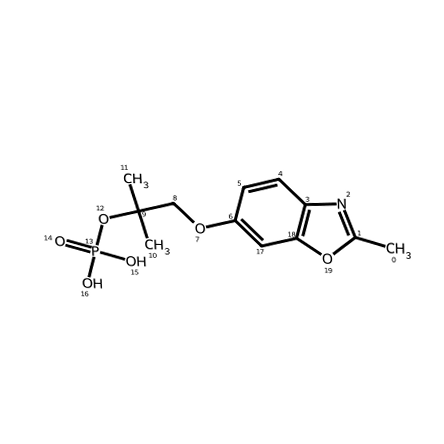 Cc1nc2ccc(OCC(C)(C)OP(=O)(O)O)cc2o1